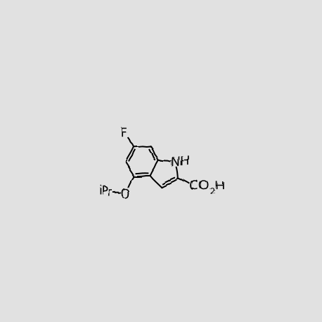 CC(C)Oc1cc(F)cc2[nH]c(C(=O)O)cc12